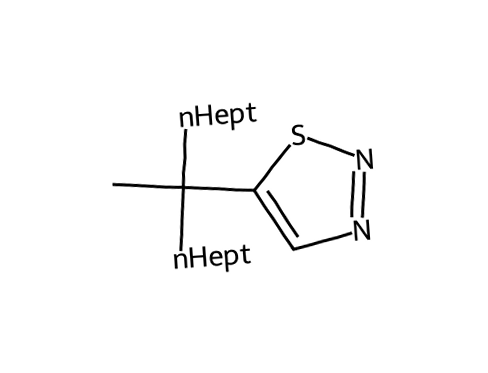 CCCCCCCC(C)(CCCCCCC)c1cnns1